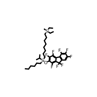 CCCCCC[Si](CCCCCCCC[Si](C)(CC)CC)(Oc1c(F)c(F)c2c(c1F)C(F)(F)c1[c]c(F)c(F)c(F)c1-2)C(C)C